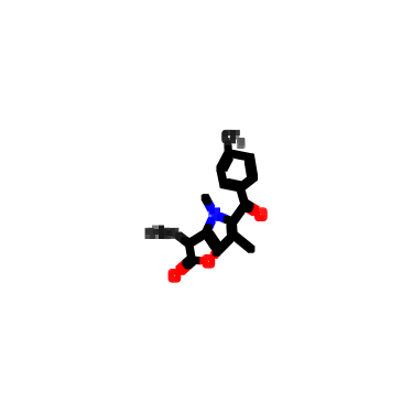 CCCCCCC1C(=O)Oc2c(C)c(C(=O)c3ccc(C(F)(F)F)cc3)n(C)c21